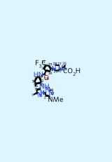 CNc1cc(-n2nc(C)cc2Nc2cc(NC(=O)c3cc(N4CCN(C(C)C(=O)O)CC4)cc(C(F)(F)F)c3)ccc2C)ncn1